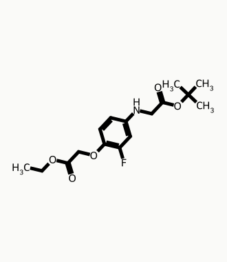 CCOC(=O)COc1ccc(NCC(=O)OC(C)(C)C)cc1F